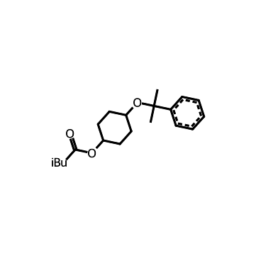 CCC(C)C(=O)OC1CCC(OC(C)(C)c2ccccc2)CC1